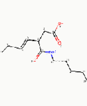 CCC=CC(CC(=O)O)C(=O)NCCCCC